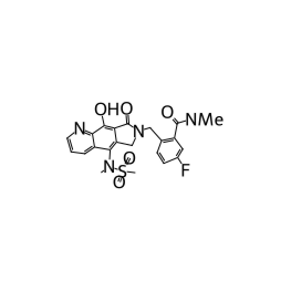 CNC(=O)c1cc(F)ccc1CN1Cc2c(c(O)c3ncccc3c2N(C)S(C)(=O)=O)C1=O